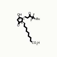 CCCCC(F)(F)C(=O)CC[C@H]1[C@H](O)CC(=O)[C@@H]1CCCCCCCCC(=O)O